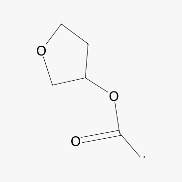 [CH2]C(=O)OC1CCOC1